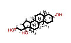 C[C@]12CC[C@@H](O)C[C@@H]1CC[C@@H]1[C@@H]2CC[C@@]2(C)[C@H]1CC[C@]2(O)CCO